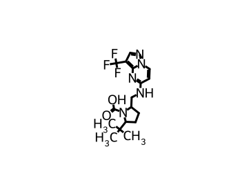 CC(C)(C)C1CCC(CNc2ccn3ncc(C(F)(F)F)c3n2)N1C(=O)O